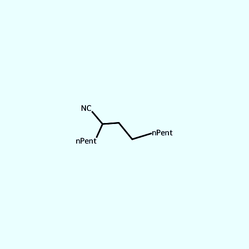 CCCCCCCC(C#N)CCCCC